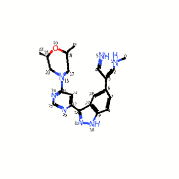 CN/C=C(\C=N)c1ccc2[nH]nc(-c3cc(N4CC(C)O[C@H](C)C4)ncn3)c2c1